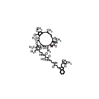 CNN(C)Cc1cc2ccccc2n1CCC(=O)NCCNC(=O)C(O)C(=O)NCCC(=O)N(C)[C@@H](C)C(=O)O[C@H]1CC(=O)N(C)c2cc(cc(OC)c2Cl)C/C(C)=C/C=C/[C@@H](OC)[C@@]2(O)C[C@H](OC(=O)N2)[C@@H](C)[C@@H]2O[C@@]12C